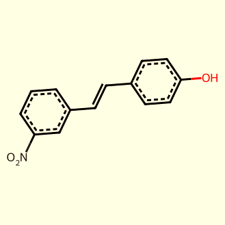 O=[N+]([O-])c1cccc(/C=C/c2ccc(O)cc2)c1